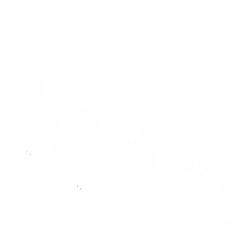 CCCCCc1ccc(OC(=O)C2CCC(CCC)CC2)c(C#N)c1C#N